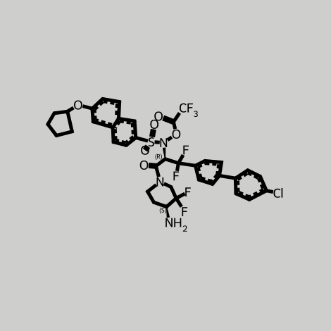 N[C@H]1CCN(C(=O)[C@@H](N(OC(=O)C(F)(F)F)S(=O)(=O)c2ccc3cc(OC4CCCC4)ccc3c2)C(F)(F)c2ccc(-c3ccc(Cl)cc3)cc2)CC1(F)F